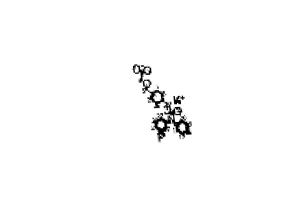 O=C([O-])COC[C@H]1CC[C@H](COC(=O)N(c2ccccc2)c2cccc(F)c2)CC1.[K+]